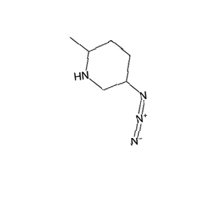 CC1CCC(N=[N+]=[N-])CN1